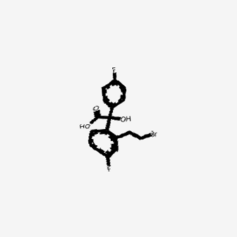 O=C(O)C(O)(c1ccc(F)cc1)c1ccc(F)cc1CCBr